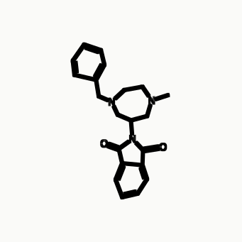 CN1CCN(Cc2ccccc2)CC(N2C(=O)c3ccccc3C2=O)C1